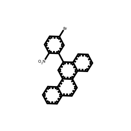 O=[N+]([O-])c1ccc(Br)cc1-c1cc2c3ccccc3ccc2c2ccccc12